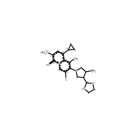 Cc1c(N2CC(N)C(C3OCCO3)C2)c(F)cn2c(=O)c(C(=O)O)cc(C3CC3)c12